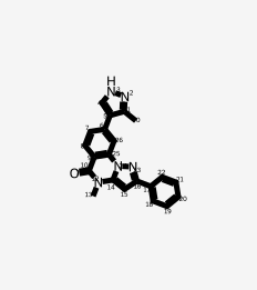 Cc1n[nH]cc1-c1ccc2c(=O)n(C)c3cc(-c4ccccc4)nn3c2c1